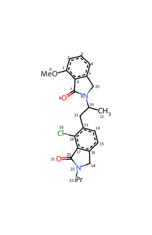 COc1cccc2c1C(=O)N(C(C)Cc1ccc3c(c1Cl)C(=O)N(C(C)C)C3)C2